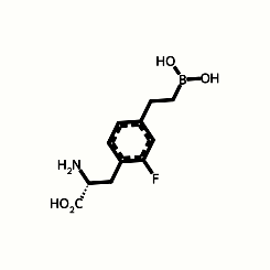 N[C@H](Cc1ccc(CCB(O)O)cc1F)C(=O)O